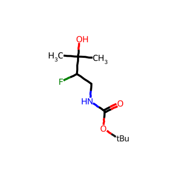 CC(C)(C)OC(=O)NCC(F)C(C)(C)O